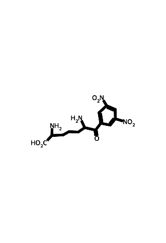 NC(CCCC(N)C(=O)c1cc([N+](=O)[O-])cc([N+](=O)[O-])c1)C(=O)O